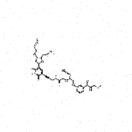 CNCNC(=O)c1cccc(OCC(N=[N+]=[N-])OCC(=O)NCC#Cc2cn(C3CC(OCN=[N+]=[N-])C(COP)O3)c(=O)[nH]c2=O)c1